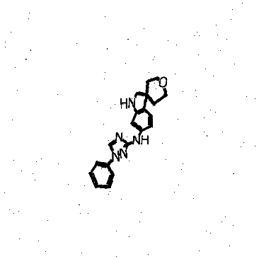 c1ccc(-n2cnc(Nc3ccc4c(c3)NCC43CCOCC3)n2)cc1